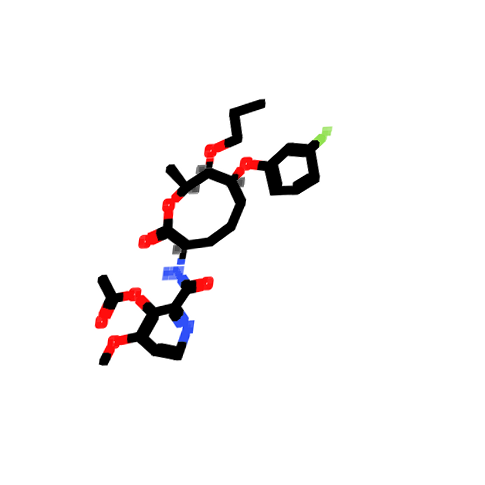 CCCO[C@H]1[C@H](C)OC(=O)[C@@H](NC(=O)c2nccc(OC)c2OC(C)=O)CCC[C@@H]1Oc1cccc(F)c1